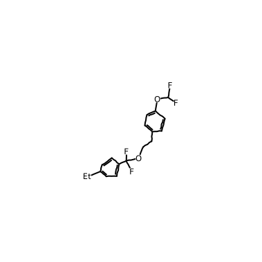 CCc1ccc(C(F)(F)OCCc2ccc(OC(F)F)cc2)cc1